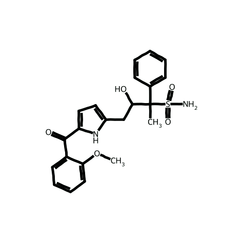 COc1ccccc1C(=O)c1ccc(CC(O)C(C)(c2ccccc2)S(N)(=O)=O)[nH]1